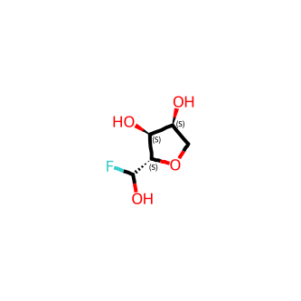 OC(F)[C@H]1OC[C@H](O)[C@@H]1O